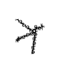 CCCOCCOCCOCCOc1cc(C(=O)NCCC(C)C)cc(OCCOCCOCCOCCOC)c1OCCOCCOCCN=[N+]=[N-]